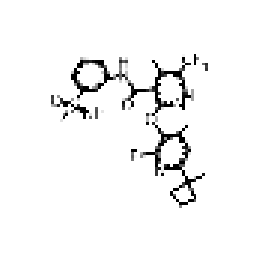 Cc1cc(C2(C)CCC2)nc(F)c1Oc1nnc(C(F)(F)F)c(C)c1C(=O)Nc1cccc(S(C)(=N)=O)c1